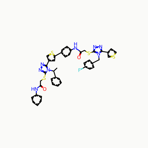 CC(c1ccccc1)n1c(SCC(=O)Nc2ccccc2)nnc1-c1csc(-c2ccc(NC(=O)CSc3nnc(-c4ccsc4)n3Cc3ccc(F)cc3)cc2)c1